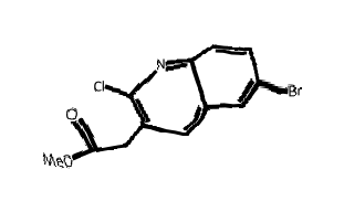 COC(=O)Cc1cc2cc(Br)ccc2nc1Cl